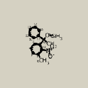 Cc1cccc(C(C)(O[SiH3])c2ccccc2)c1[N+](=O)[O-]